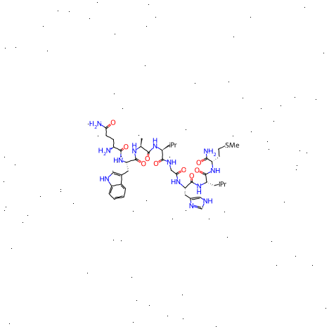 CSCC[C@H](NC(=O)[C@H](CC(C)C)NC(=O)[C@H](Cc1c[nH]cn1)NC(=O)CNC(=O)[C@@H](NC(=O)[C@H](C)NC(=O)[C@H](Cc1c[nH]c2ccccc12)NC(=O)[C@@H](N)CCC(N)=O)C(C)C)C(N)=O